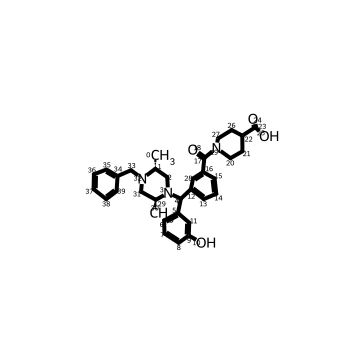 C[C@@H]1CN(C(c2cccc(O)c2)c2cccc(C(=O)N3CCC(C(=O)O)CC3)c2)[C@@H](C)CN1Cc1ccccc1